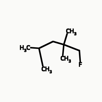 CC(C)CC(C)(C)CF